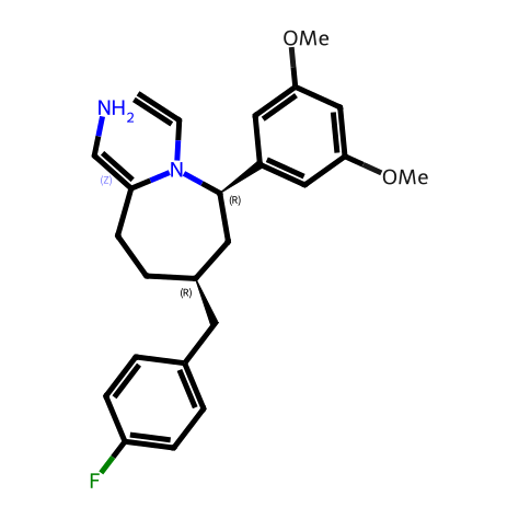 C=CN1/C(=C\N)CC[C@H](Cc2ccc(F)cc2)C[C@@H]1c1cc(OC)cc(OC)c1